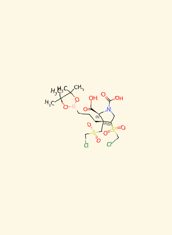 CC1(C)OB(CCC[C@]2(CS(=O)(=O)CCl)[C@H](S(=O)(=O)CCl)CN(C(=O)O)[C@@H]2C(=O)O)OC1(C)C